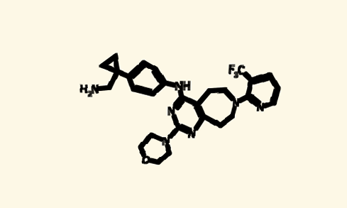 NCC1(c2ccc(Nc3nc(N4CCOCC4)nc4c3CCN(c3ncccc3C(F)(F)F)CC4)cc2)CC1